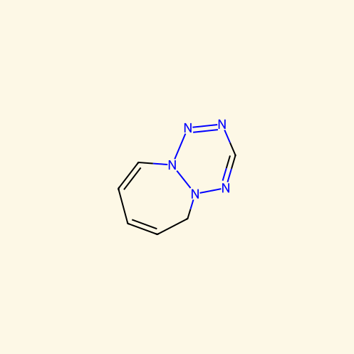 C1=CCN2N=CN=NN2C=C1